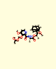 COc1ccnc(C(=O)N[C@@H](C)C(=O)O[C@@H](C)[C@H](OC)C23CC4CC(CC(C4)C2)C3)c1OCOC(C)=O